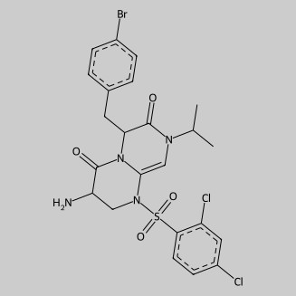 CC(C)N1C=C2N(C(=O)C(N)CN2S(=O)(=O)c2ccc(Cl)cc2Cl)C(Cc2ccc(Br)cc2)C1=O